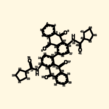 O=C1c2ccccc2C(=O)c2c(-c3ccc(NC(=O)C4CCCC4)c4c3C(=O)c3ccccc3C4=O)ccc(NC(=O)C3CCCC3)c21